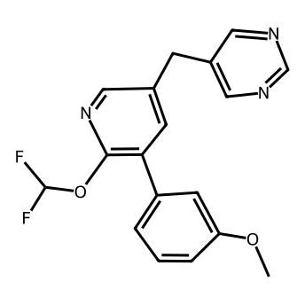 COc1cccc(-c2cc(Cc3cncnc3)cnc2OC(F)F)c1